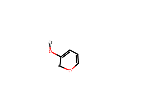 CCOC1=CC=CO[C]1